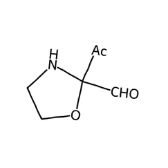 CC(=O)C1(C=O)NCCO1